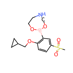 CS(=O)(=O)c1ccc(OCC2CC2)c(B2OCCNCO2)c1